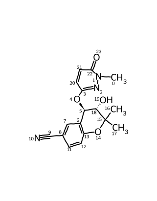 Cn1nc(O[C@@H]2c3cc(C#N)ccc3OC(C)(C)[C@H]2O)ccc1=O